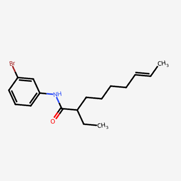 CC=CCCCCC(CC)C(=O)Nc1cccc(Br)c1